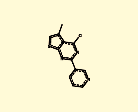 Cc1csc2nc(-c3cccnc3)nc(Cl)c12